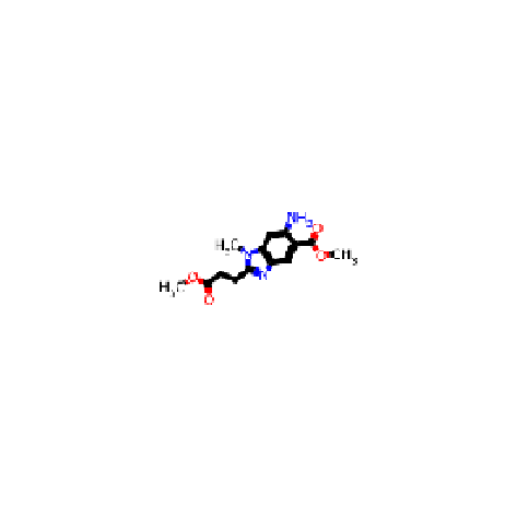 COC(=O)CCc1nc2cc(C(=O)OC)c(N)cc2n1C